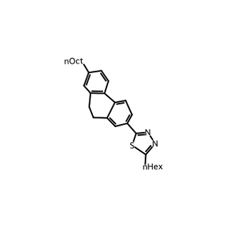 CCCCCCCCc1ccc2c(c1)CCc1cc(-c3nnc(CCCCCC)s3)ccc1-2